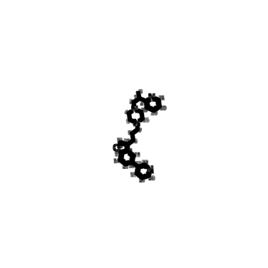 CC(CN1CCN(CCCc2coc3ccc(-c4cccnc4)cc23)CC1)c1ccccn1